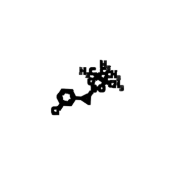 CC1(C)OB(C2CC2c2cccc(Cl)c2)OC1(C)C